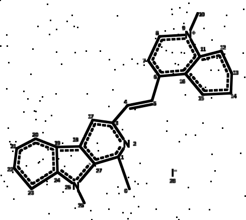 Cc1nc(/C=C/c2cc[n+](C)c3ccccc23)cc2c3ccccc3n(C)c12.[I-]